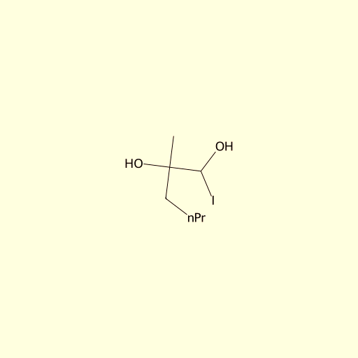 CCCCC(C)(O)C(O)I